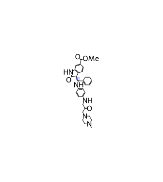 COC(=O)c1ccc2c(c1)NC(=O)/C2=C(\Nc1ccc(NCC(=O)CN2CCN(C)CC2)cc1)c1ccccc1